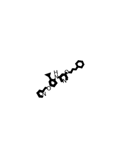 c1ccc(COc2ccc(Nc3cncc(OCCCC4CCCCC4)c3)c(C3CC3)c2)nc1